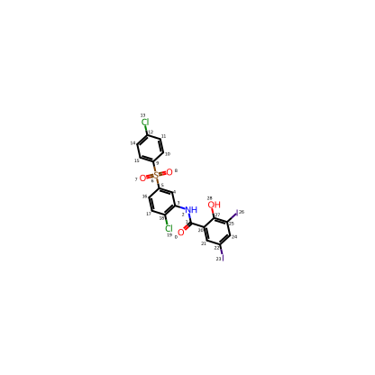 O=C(Nc1cc(S(=O)(=O)c2ccc(Cl)cc2)ccc1Cl)c1cc(I)cc(I)c1O